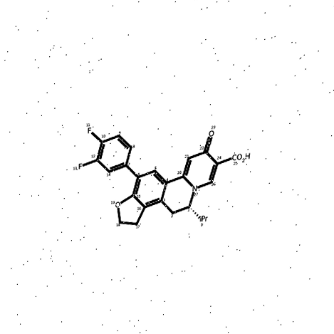 CC(C)[C@@H]1Cc2c(cc(-c3ccc(F)c(F)c3)c3c2CCO3)-c2cc(=O)c(C(=O)O)cn21